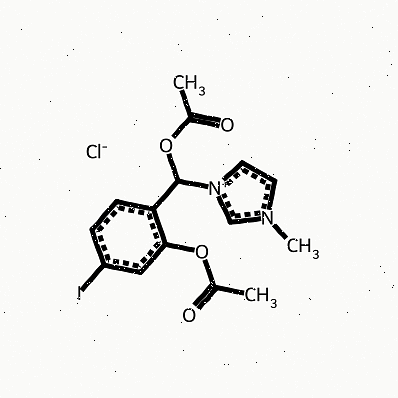 CC(=O)Oc1cc(I)ccc1C(OC(C)=O)[n+]1ccn(C)c1.[Cl-]